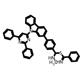 CNC(SC(=N)c1ccccc1)c1ccc(-c2ccc3c4ccccc4n(-c4cc(-c5ccccc5)nc(-c5ccccc5)n4)c3c2)cc1